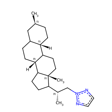 C[C@H]1CC[C@H]2C(CC[C@@H]3C2CC[C@@]2(C)C3CCC2[C@@H](C)Cn2nccn2)C1